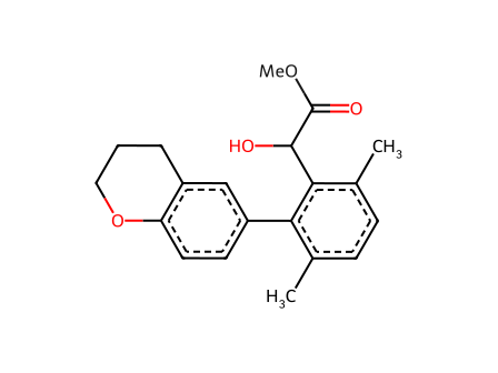 COC(=O)C(O)c1c(C)ccc(C)c1-c1ccc2c(c1)CCCO2